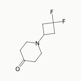 O=C1CCN(C2CC(F)(F)C2)CC1